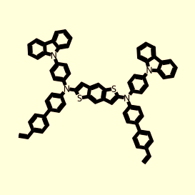 C=Cc1ccc(-c2ccc(N(c3ccc(-n4c5ccccc5c5ccccc54)cc3)c3cc4cc5sc(N(c6ccc(-c7ccc(C=C)cc7)cc6)c6ccc(-n7c8ccccc8c8ccccc87)cc6)cc5cc4s3)cc2)cc1